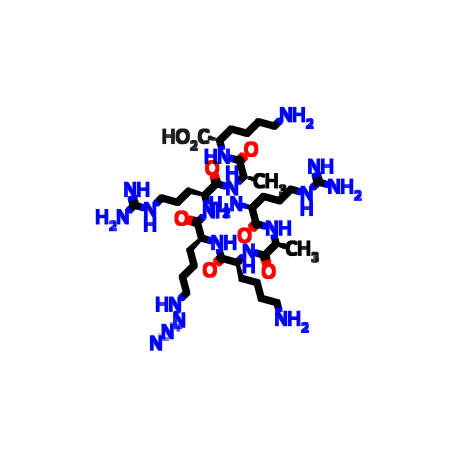 C[C@H](NC(=O)[C@H](CCCNC(=N)N)NC(=O)[C@H](CCCCNN=[N+]=[N-])NC(=O)[C@H](CCCCN)NC(=O)[C@H](C)NC(=O)[C@@H](N)CCCNC(=N)N)C(=O)N[C@@H](CCCCN)C(=O)O